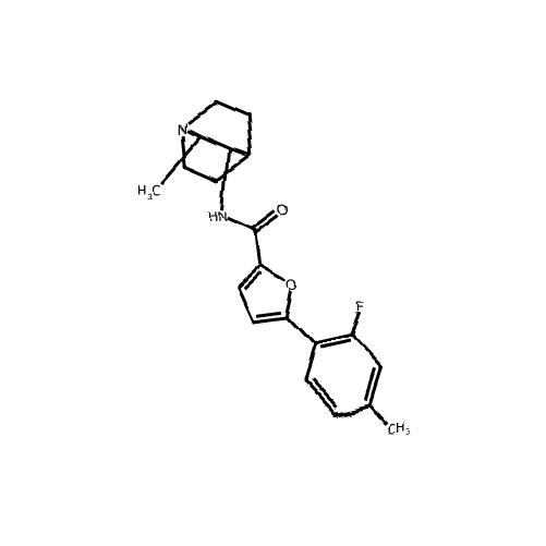 Cc1ccc(-c2ccc(C(=O)NC3C4CCN(CC4)C3C)o2)c(F)c1